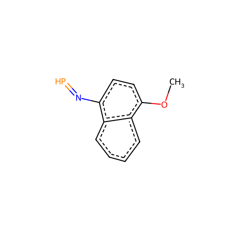 COc1ccc(N=P)c2ccccc12